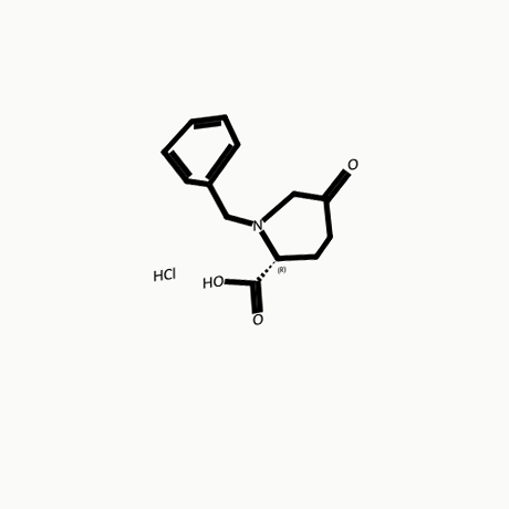 Cl.O=C1CC[C@H](C(=O)O)N(Cc2ccccc2)C1